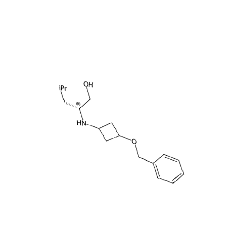 CC(C)C[C@H](CO)NC1CC(OCc2ccccc2)C1